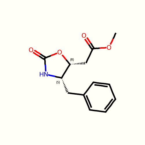 COC(=O)C[C@H]1OC(=O)N[C@H]1Cc1ccccc1